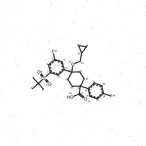 CC(C)(C)S(=O)(=O)c1cc(F)cc(C2(OCC3CC3)CCC(C(=O)O)(c3ccc(F)cc3)CC2)c1